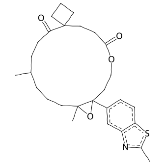 Cc1nc2cc(C34CCOC(=O)CCC5(CCC5)C(=O)CCC(C)CCCC3(C)O4)ccc2s1